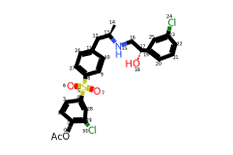 CC(=O)Oc1ccc(S(=O)(=O)c2ccc(C[C@@H](C)NC[C@@H](O)c3cccc(Cl)c3)cc2)cc1Cl